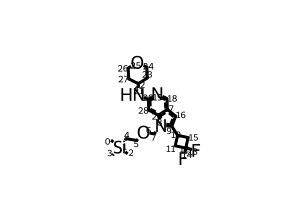 C[Si](C)(C)CCOCn1c(C2CC(F)(F)C2)cc2cnc(NC3CCOCC3)cc21